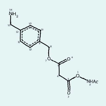 CC(=O)NOC(=O)CC(=O)OCc1ccc(CN)cc1